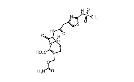 CS(=O)(=O)Nc1nc(CC(=O)NC2C(=O)N3C(C(=O)O)=C(COC(N)=O)CS[C@H]23)cs1